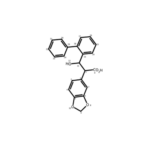 O=C(O)C(c1ccc2c(c1)OCO2)C(O)c1ccccc1-c1ccccc1